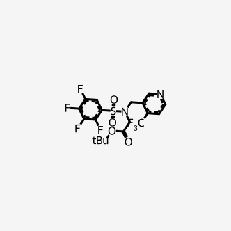 CC(C)(C)OC(=O)CN(Cc1cnccc1C(F)(F)F)S(=O)(=O)c1cc(F)c(F)c(F)c1F